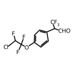 O=CC(c1ccc(OC(F)(F)C(F)Cl)cc1)C(F)(F)F